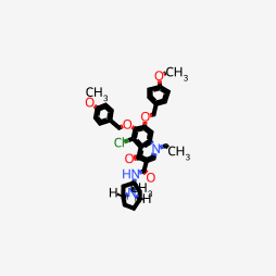 CCn1cc(C(=O)NC2C[C@H]3CC[C@@H](C2)N3C)c(=O)c2c(Cl)c(OCc3ccc(OC)cc3)c(OCc3ccc(OC)cc3)cc21